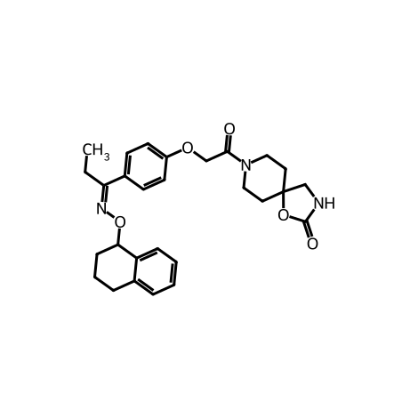 CCC(=NOC1CCCc2ccccc21)c1ccc(OCC(=O)N2CCC3(CC2)CNC(=O)O3)cc1